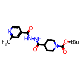 CC(C)(C)OC(=O)N1CCC(C(=O)NNC(=O)c2ccnc(C(F)(F)F)c2)CC1